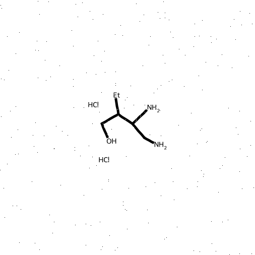 CCC(CO)C(N)CN.Cl.Cl